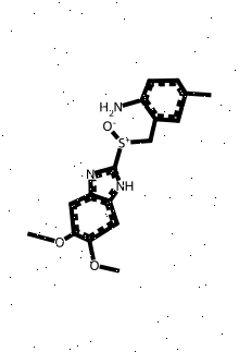 COc1cc2nc([S+]([O-])Cc3cc(C)ccc3N)[nH]c2cc1OC